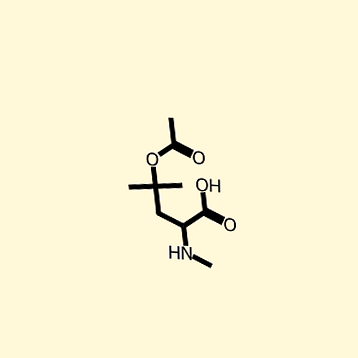 CNC(CC(C)(C)OC(C)=O)C(=O)O